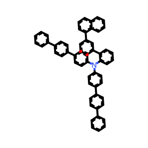 c1ccc(-c2ccc(-c3ccc(N(c4ccc(-c5ccc(-c6ccccc6)cc5)cc4)c4ccccc4-c4cccc(-c5cccc6ccccc56)c4)cc3)cc2)cc1